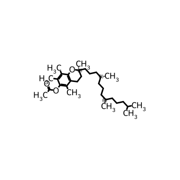 CC(=O)Oc1c(C)c(C)c2c(c1C)CC[C@](C)(CCC[C@H](C)CCC[C@H](C)CCCC(C)C)O2